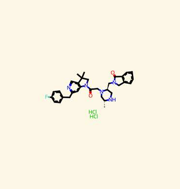 C[C@@H]1CN(CC(=O)N2CC(C)(C)c3cnc(Cc4ccc(F)cc4)cc32)[C@@H](CN2Cc3ccccc3C2=O)CN1.Cl.Cl